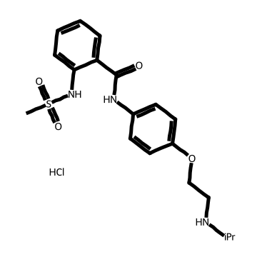 CC(C)NCCOc1ccc(NC(=O)c2ccccc2NS(C)(=O)=O)cc1.Cl